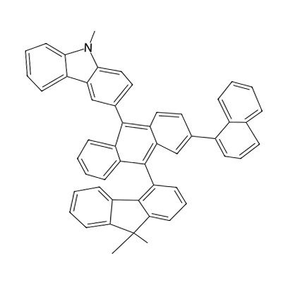 Cn1c2ccccc2c2cc(-c3c4ccccc4c(-c4cccc5c4-c4ccccc4C5(C)C)c4cc(-c5cccc6ccccc56)ccc34)ccc21